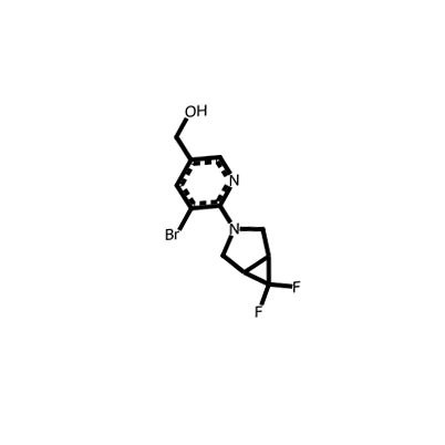 OCc1cnc(N2CC3C(C2)C3(F)F)c(Br)c1